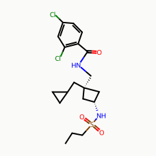 CCCS(=O)(=O)N[C@H]1C[C@](CNC(=O)c2ccc(Cl)cc2Cl)(CC2CC2)C1